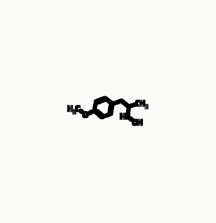 COc1ccc(CC(C)NO)cc1